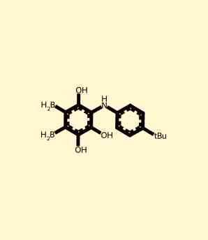 Bc1c(B)c(O)c(Nc2ccc(C(C)(C)C)cc2)c(O)c1O